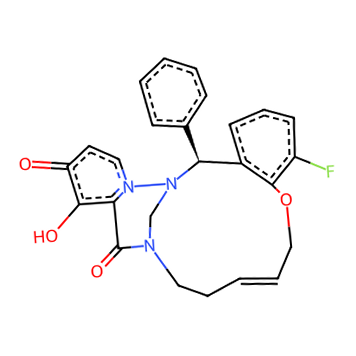 O=C1c2c(O)c(=O)ccn2N2CN1CC/C=C/COc1c(F)cccc1[C@@H]2c1ccccc1